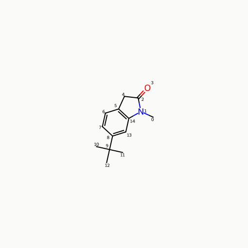 CN1C(=O)Cc2ccc(C(C)(C)C)cc21